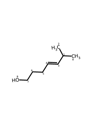 CC(C)/C=C/CCCO